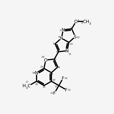 COc1nn2cc(-c3cc4c(C(F)(F)F)cc(C)nc4o3)nc2s1